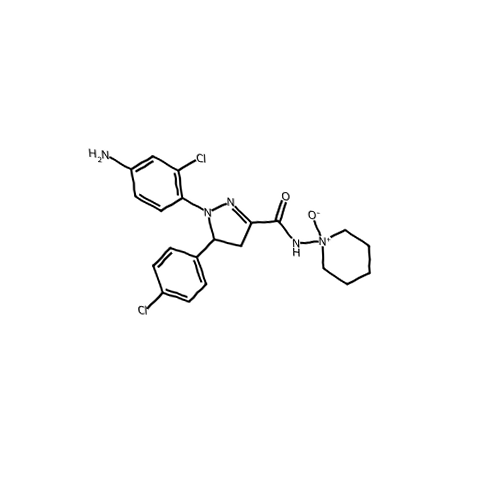 Nc1ccc(N2N=C(C(=O)N[N+]3([O-])CCCCC3)CC2c2ccc(Cl)cc2)c(Cl)c1